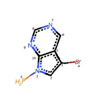 Pn1cc(Br)c2cncnc21